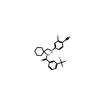 N#Cc1ccc(NCC2(NC(=O)c3cccc(C(F)(F)F)c3)CCCCC2)cc1Cl